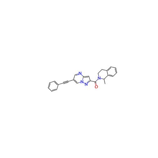 CC1c2ccccc2CCN1C(=O)c1cc2ncc(C#Cc3ccccc3)cn2n1